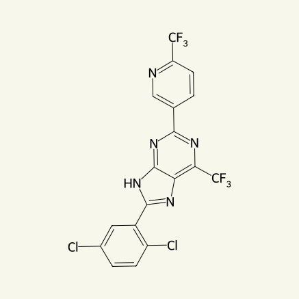 FC(F)(F)c1ccc(-c2nc(C(F)(F)F)c3nc(-c4cc(Cl)ccc4Cl)[nH]c3n2)cn1